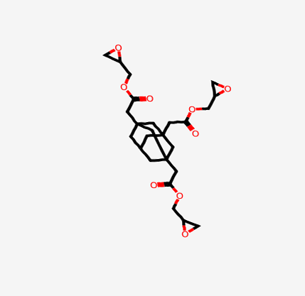 O=C(CC12CC3CC(CC(=O)OCC4CO4)(C1)CC(CC(=O)OCC1CO1)(C3)C2)OCC1CO1